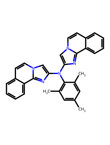 Cc1cc(C)c(N(c2cn3ccc4ccccc4c3n2)c2cn3ccc4ccccc4c3n2)c(C)c1